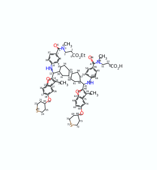 CCOC(=O)CCN(C)C(=O)c1ccc(NC(c2oc3ccc(OC4CCSCC4)cc3c2C)C2CCCCC2)cc1.Cc1c(C(Nc2ccc(C(=O)N(C)CCC(=O)O)cc2)C2CCCCC2)oc2ccc(OC3CCSCC3)cc12